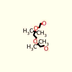 CC(C)(CC=O)OCCC(C)(C)OCC=O